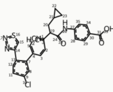 C=C(/C=C\C(=C/C)c1cc(Cl)ccc1-c1csnn1)C(CC1CC1)C(=O)Nc1ccc(C(=O)O)cc1